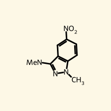 CNc1nn(C)c2ccc([N+](=O)[O-])cc12